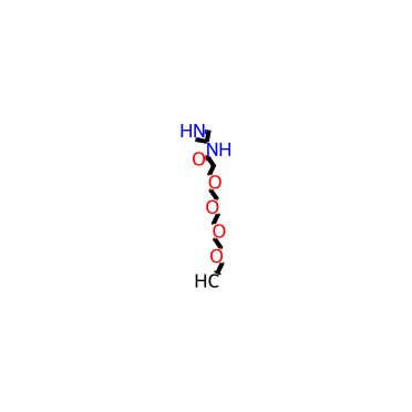 C#CCOCCOCCOCCOCCC(=O)NC1CNC1